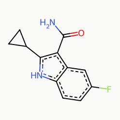 NC(=O)c1c(C2CC2)[nH]c2ccc(F)cc12